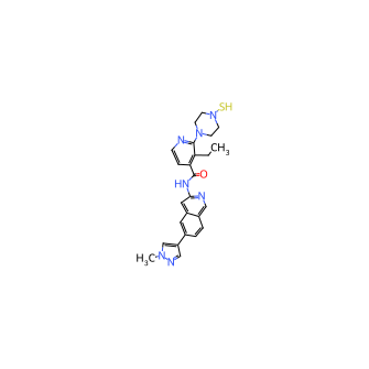 CCc1c(C(=O)Nc2cc3cc(-c4cnn(C)c4)ccc3cn2)ccnc1N1CCN(S)CC1